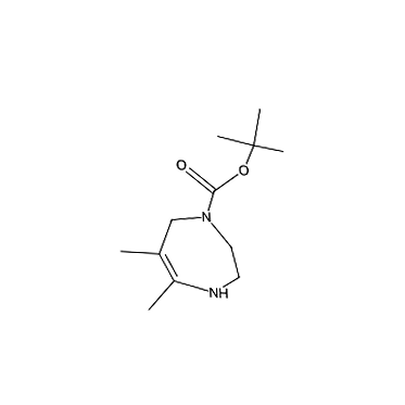 CC1=C(C)NCCN(C(=O)OC(C)(C)C)C1